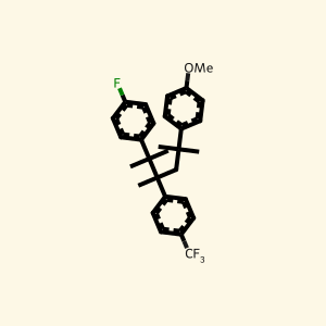 COc1ccc(C(C)(C)CC(C)(c2ccc(C(F)(F)F)cc2)C(C)(C)c2ccc(F)cc2)cc1